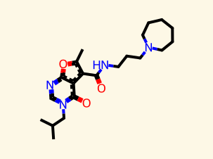 Cc1oc2ncn(CC(C)C)c(=O)c2c1C(=O)NCCCN1CCCCCC1